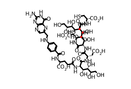 Nc1nc2ncc(CNc3ccc(C(=O)N[C@@H](CCC(=O)N[C@H](C(=O)N[C@@H](CC(=O)O)C(=O)N[C@H](C(=O)N[C@@H](CC(=O)O)C(=O)N[C@H](C(=O)N[C@H](CS)C(=O)O)[C@@H](O)[C@H](O)[C@H](O)CO)[C@@H](O)[C@H](O)[C@H](O)CO)[C@@H](O)[C@H](O)[C@H](O)CO)C(=O)O)cc3)nc2c(=O)[nH]1